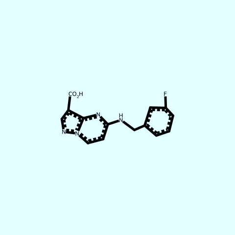 O=C(O)c1cnn2ccc(NCc3cccc(F)c3)nc12